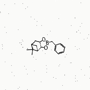 CC1(C)C2CC3OB(Cc4ccccc4)OC3C1C2